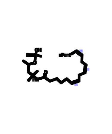 CCCCC/C=C\C/C=C\C/C=C\CCCCC(=O)NC(C)(C)CC(C)OP(C)(=O)O